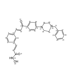 O=C(C=Cc1cccc(C=CC(=O)c2ccc(N3CCN(Cc4ccccc4)CC3)cc2)c1)NO